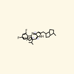 CC(C)C(/C=C1/NC(CC2CCC3C(C)CCC23)=C/C1=N/C1CCC2C=C(F)C=C(F)C21)=C\N